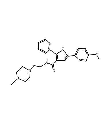 COc1ccc(-c2cc(C(=O)NCCN3CCN(C)CC3)c(-c3ccccc3)[nH]2)cc1